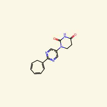 O=C1CCN(c2cnc(C3=CC=CC=CC3)nc2)C(=O)N1